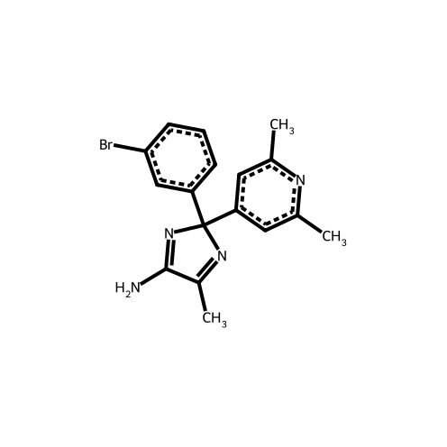 CC1=NC(c2cccc(Br)c2)(c2cc(C)nc(C)c2)N=C1N